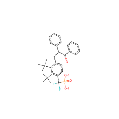 CC(C)(C)c1c(CC(C(=O)c2ccccc2)c2ccccc2)ccc(C(F)(F)P(=O)(O)O)c1C(C)(C)C